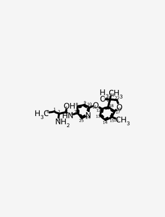 CCC(N)C(O)Nc1ccc(Oc2ccc(C)c3c2C(C)(C)CO3)nc1